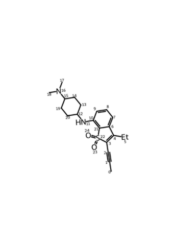 CC#CC1=C(CC)c2cccc(NC3CCC(N(C)C)CC3)c2S1(=O)=O